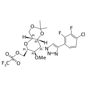 CO[C@@H]1[C@@H](n2cc(-c3ccc(Cl)c(F)c3F)nn2)[C@H]2OC(C)(C)OC[C@H]2O[C@@H]1COS(=O)(=O)C(F)(F)F